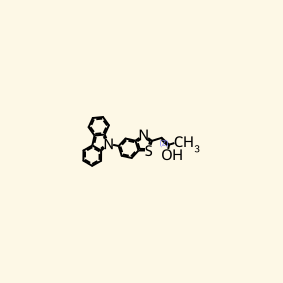 C/C(O)=C/c1nc2cc(-n3c4ccccc4c4ccccc43)ccc2s1